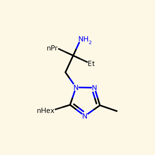 CCCCCCc1nc(C)nn1CC(N)(CC)CCC